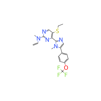 C=CN(C)c1ncc(SCC)c(-c2ncc(-c3ccc(OC(F)(F)F)cc3)n2C)n1